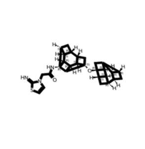 N=c1sccn1CC(=O)N[C@@]12C3[C@@H]4[C@H]1[C@H]1[C@H](C[C@@H]12)[C@@H]1C[C@]3(O[C@]23CC56[C@@H]7[C@@H](C[C@H]75)[C@H]5C[C@H]2[C@H]5[C@H]63)[C@@H]14